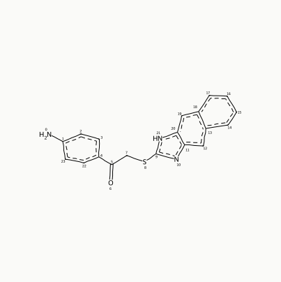 Nc1ccc(C(=O)CSc2nc3cc4ccccc4cc3[nH]2)cc1